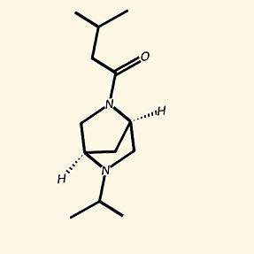 CC(C)CC(=O)N1C[C@H]2C[C@@H]1CN2C(C)C